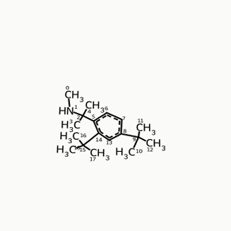 CNC(C)(C)c1ccc(C(C)(C)C)cc1C(C)(C)C